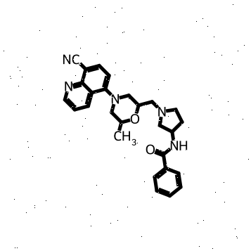 CC1CN(c2ccc(C#N)c3ncccc23)CC(CN2CCC(NC(=O)c3ccccc3)C2)O1